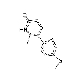 CSc1ccc(-c2ccc(=O)[nH]c2C)cc1